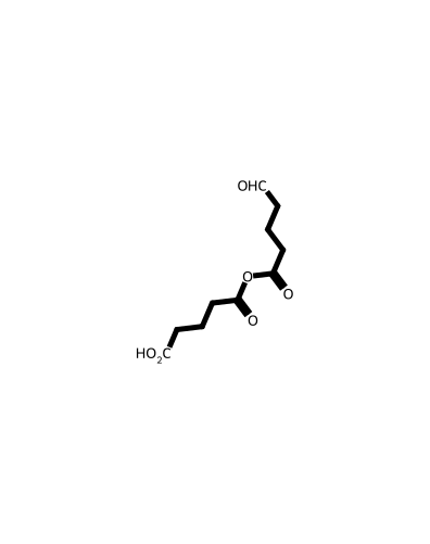 O=CCCCC(=O)OC(=O)CCCC(=O)O